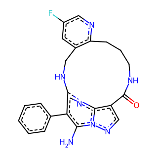 Nc1c(-c2ccccc2)c2nc3c(cnn13)C(=O)NCCCc1ncc(F)cc1CN2